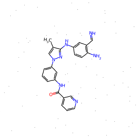 Cc1cn(-c2cccc(NC(=O)c3cccnc3)c2)nc1Nc1ccc(N)c(C=N)c1